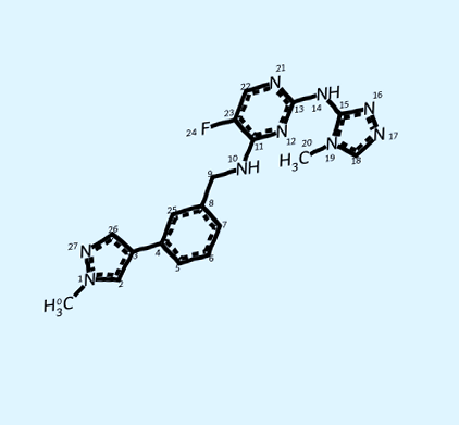 Cn1cc(-c2cccc(CNc3nc(Nc4nncn4C)ncc3F)c2)cn1